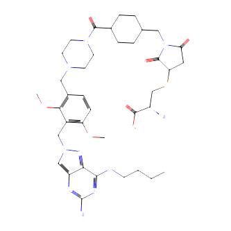 CCCCNc1nc(N)nc2cn(Cc3c(OC)ccc(CN4CCN(C(=O)C5CCC(CN6C(=O)CC(SC[C@@H](N)C(=O)O)C6=O)CC5)CC4)c3OC)nc12